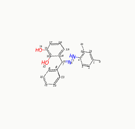 Cc1ccc(NN=C(c2ccccc2)c2cccc(O)c2O)c(C)c1